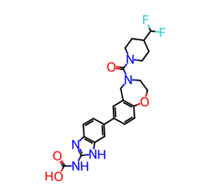 O=C(O)Nc1nc2ccc(-c3ccc4c(c3)CN(C(=O)N3CCC(C(F)F)CC3)CCO4)cc2[nH]1